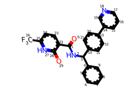 O=C(NC(c1ccccc1)c1ccc(-c2cccnc2)cc1)c1ccc(C(F)(F)F)[nH]c1=O